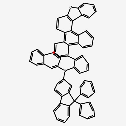 c1ccc(C2(c3ccccc3)c3ccccc3-c3ccc(N(c4ccc5ccccc5c4)c4ccccc4-c4cccc5c6ccc7oc8ccccc8c7c6c6ccccc6c45)cc32)cc1